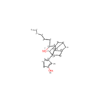 CCCCCCC(O)C12CC3CC(CC(c4cccc(O)c4)(C3)C1)C2